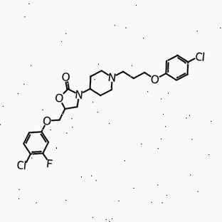 O=C1OC(COc2ccc(Cl)c(F)c2)CN1C1CCN(CCCOc2ccc(Cl)cc2)CC1